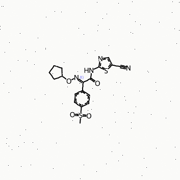 CS(=O)(=O)c1ccc(/C(=N\OC2CCCC2)C(=O)Nc2ncc(C#N)s2)cc1